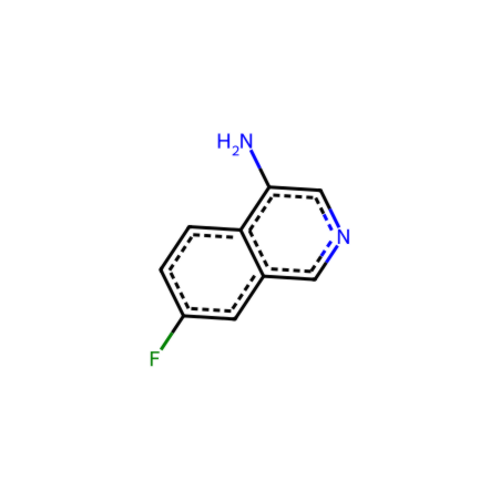 Nc1cncc2cc(F)ccc12